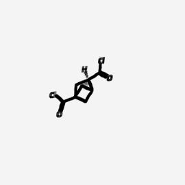 O=C(Cl)[C@@H]1CC2(C(=O)Cl)CC1C2